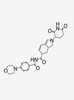 O=C1CCC(N2C=C3C=CC(C(=O)NC(=O)c4ccc(N5CCOCC5)cc4)CC3C2)C(=O)N1